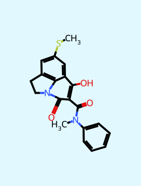 CSc1cc2c3c(c1)c(O)c(C(=O)N(C)c1ccccc1)c(=O)n3CC2